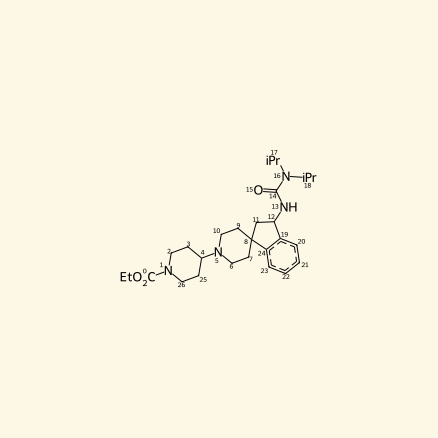 CCOC(=O)N1CCC(N2CCC3(CC2)CC(NC(=O)N(C(C)C)C(C)C)c2ccccc23)CC1